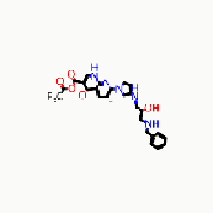 O=C(OC(=O)C(F)(F)F)c1c[nH]c2nc(N3CCC(NCC(O)CNCc4ccccc4)C3)c(F)cc2c1=O